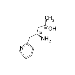 C[C@@H](O)C[C@@H](N)Cc1ccccn1